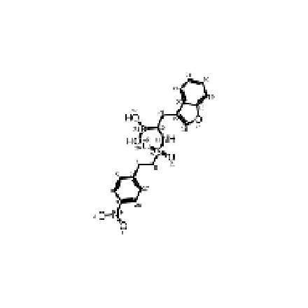 O=[N+]([O-])c1ccc(CCS(=O)(=O)NC(Cc2coc3ccccc23)B(O)O)cc1